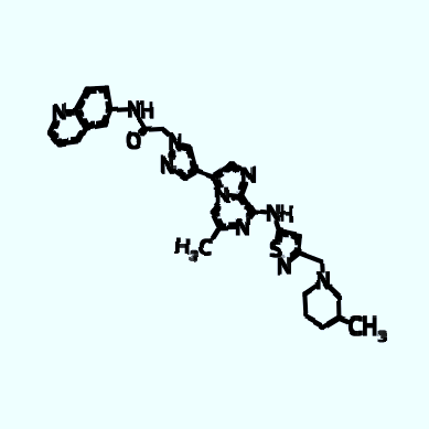 Cc1cn2c(-c3cnn(CC(=O)Nc4ccc5ncccc5c4)c3)cnc2c(Nc2cc(CN3CCCC(C)C3)ns2)n1